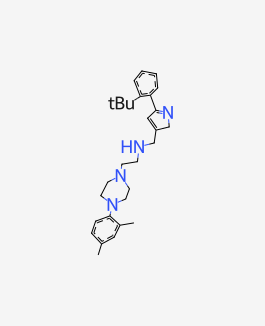 Cc1ccc(N2CCN(CCNCC3=CC(c4ccccc4C(C)(C)C)=NC3)CC2)c(C)c1